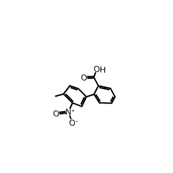 Cc1ccc(-c2ccccc2C(=O)O)cc1[N+](=O)[O-]